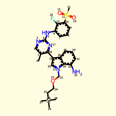 Cc1cnc(Nc2cccc(S(C)(=O)=O)c2F)nc1-c1cn(COCC[Si](C)(C)C)c2c(N)cccc12